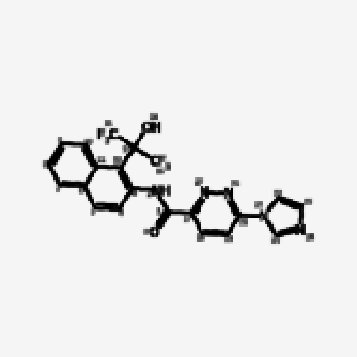 O=C(Nc1ccc2ccccc2c1C(O)(C(F)(F)F)C(F)(F)F)c1ccc(-n2ccnc2)nn1